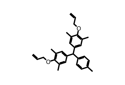 C=CCOc1c(C)cc(C(c2ccc(C)cc2)c2cc(C)c(OCC=C)c(C)c2)cc1C